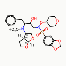 O=C(O)N(C(Cc1ccccc1)C(O)CN(OC1CCOCC1)S(=O)(=O)c1ccc2c(c1)OCO2)[C@H]1CO[C@H]2OCC[C@H]21